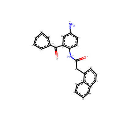 Nc1ccc(NC(=O)Cc2cccc3ccccc23)c(C(=O)c2ccccc2)c1